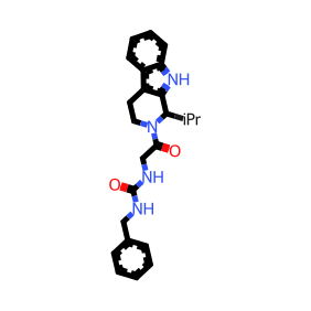 CC(C)C1c2[nH]c3ccccc3c2CCN1C(=O)CNC(=O)NCc1ccccc1